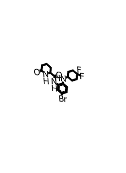 O=C1CCCC(C(=O)Nc2cc(Br)ccc2NC2CCC(F)(F)CC2)N1